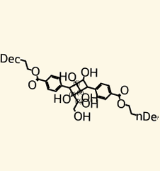 CCCCCCCCCCCCOC(=O)c1ccc(C2C(O)[C@@]3(O)C(c4ccc(C(=O)OCCCCCCCCCCCC)cc4)[C@@](O)([C@H](O)CO)[C@@]23O)cc1